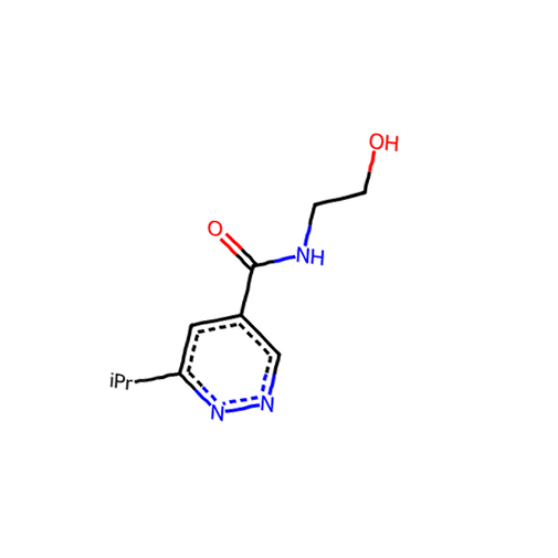 CC(C)c1cc(C(=O)NCCO)cnn1